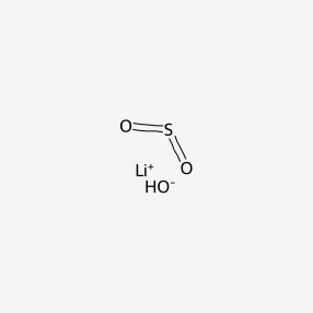 O=S=O.[Li+].[OH-]